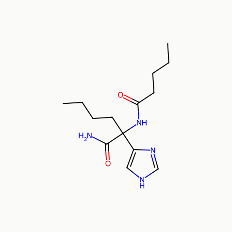 CCCCC(=O)NC(CCCC)(C(N)=O)c1c[nH]cn1